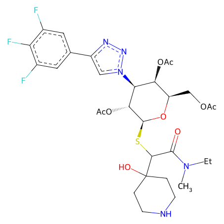 CCN(C)C(=O)C(S[C@@H]1O[C@H](COC(C)=O)[C@H](OC(C)=O)[C@H](n2cc(-c3cc(F)c(F)c(F)c3)nn2)[C@H]1OC(C)=O)C1(O)CCNCC1